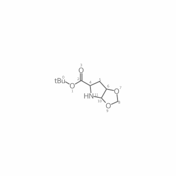 CC(C)(C)OC(=O)C1CC2OCOC2N1